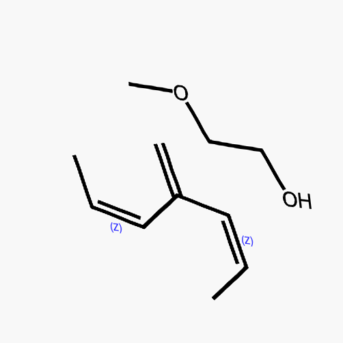 C=C(/C=C\C)/C=C\C.COCCO